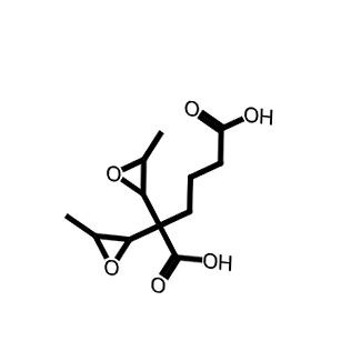 CC1OC1C(CCCC(=O)O)(C(=O)O)C1OC1C